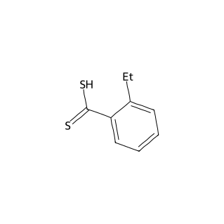 CCc1ccccc1C(=S)S